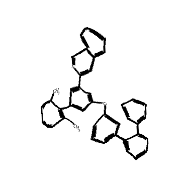 Cc1cccc(C)c1-c1cc(Oc2cccc(-c3ccccc3-c3ccccc3)c2)cc(-c2cc3ccccc3cn2)c1